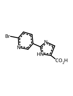 O=C(O)c1cnc(-c2ccc(Br)nc2)[nH]1